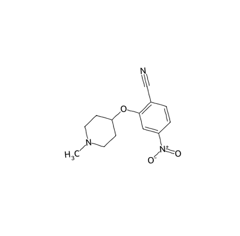 CN1CCC(Oc2cc([N+](=O)[O-])ccc2C#N)CC1